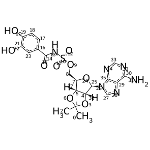 CC1(C)O[C@@H]2[C@H](O1)[C@@H](COS(=O)(=O)NC(=O)c1ccc(O)c(O)c1)O[C@H]2n1cnc2c(N)ncnc21